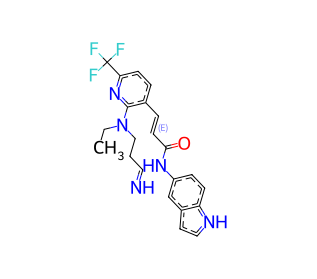 CCN(CCC=N)c1nc(C(F)(F)F)ccc1/C=C/C(=O)Nc1ccc2[nH]ccc2c1